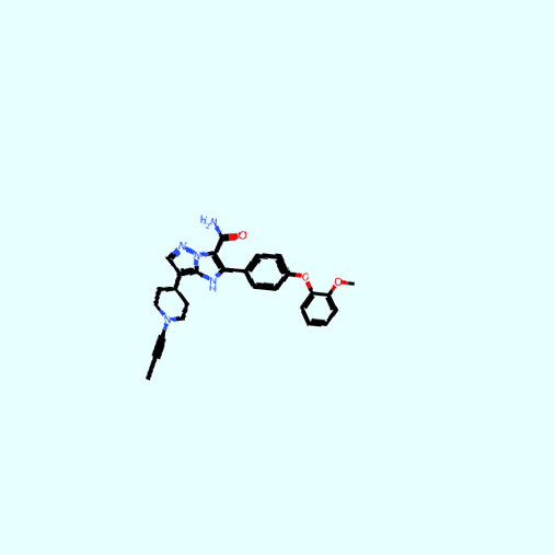 CC#CN1CCC(c2cnn3c(C(N)=O)c(-c4ccc(Oc5ccccc5OC)cc4)[nH]c23)CC1